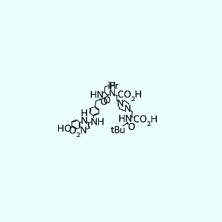 CC(C)CC(NC(=O)Cc1ccc(NC(=C[N+](=O)[O-])Nc2ccc(O)cc2)cc1)C(=O)NC(CN1CCN(CC(NC(=O)CC(C)(C)C)C(=O)O)CC1)C(=O)O